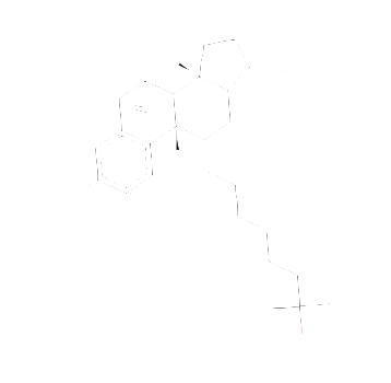 C=C[C@@]12CCc3cc(O)ccc3[C@H]1[C@@H](CCCCCCC(C)(C)O)C[C@@]1(C)[C@H]2CC[C@@H]1O